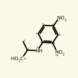 CC(Nc1ccc([N+](=O)[O-])cc1[N+](=O)[O-])C(=O)O